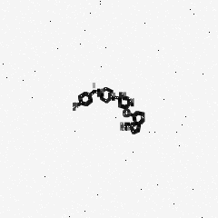 C[C@@H](c1ccc(F)cc1)N1CCN(c2cc(Oc3cccc4cc[nH]c34)ncn2)CC1